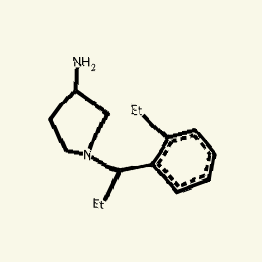 CCc1ccccc1C(CC)N1CCC(N)C1